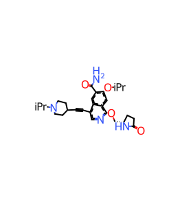 CC(C)Oc1cc2c(OC[C@@H]3CCC(=O)N3)ncc(C#CC3CCN(C(C)C)CC3)c2cc1C(N)=O